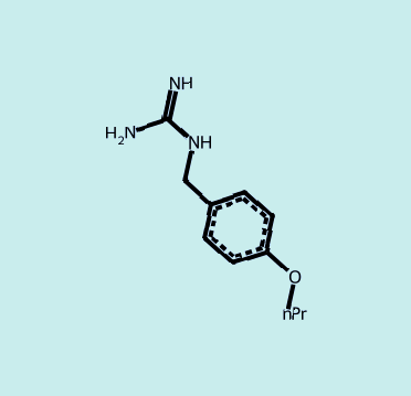 CCCOc1ccc(CNC(=N)N)cc1